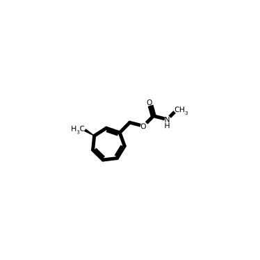 CNC(=O)OCC1=C[C@H](C)C=CC=C1